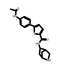 CC(=O)Nc1ccc(-c2ccc(C(=O)NC3CC4CC3CN4)s2)cc1